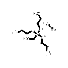 CCCO[Si](CC)(OCCC)OCCC.CN